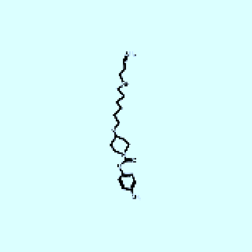 C=CCCNCCCCCCOC1CCN(C(=O)Oc2ccc(C)cc2)CC1